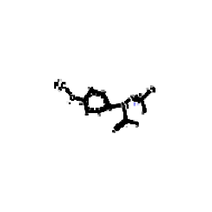 C=C(C)N(/N=C(\C)Br)c1ccc(OC(F)(F)F)cc1